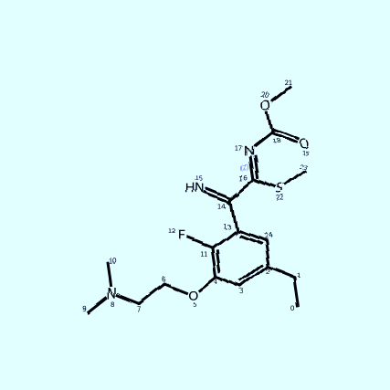 CCc1cc(OCCN(C)C)c(F)c(C(=N)/C(=N/C(=O)OC)SC)c1